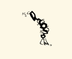 Cc1ccc(-c2cc3sc4cc5sc6c(c5cc4c3s2)SC(c2ccc(C)cc2)C6)cc1